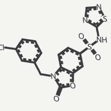 O=c1oc2cc(S(=O)(=O)Nc3ncns3)ccc2n1Cc1cccc(Cl)c1